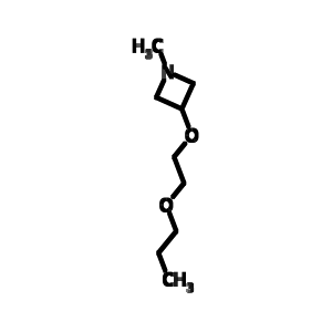 CCCOCCOC1CN(C)C1